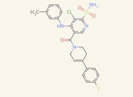 Cc1cccc(Nc2c(C(=O)N3CC=C(c4ccc(F)cc4)CC3)cnc(S(N)(=O)=O)c2Cl)c1